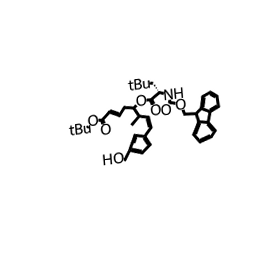 CC(/C=C\c1ccc(CO)cc1)C(C/C=C/C(=O)OC(C)(C)C)OC(=O)[C@H](CC(C)(C)C)NC(=O)OCC1c2ccccc2-c2ccccc21